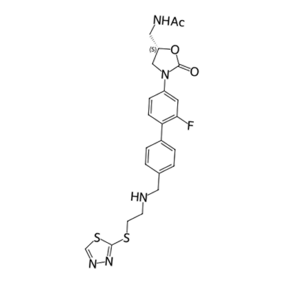 CC(=O)NC[C@H]1CN(c2ccc(-c3ccc(CNCCSc4nncs4)cc3)c(F)c2)C(=O)O1